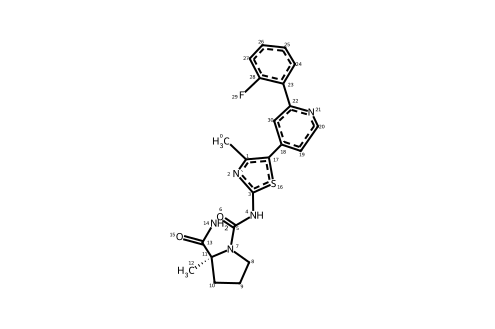 Cc1nc(NC(=O)N2CCC[C@@]2(C)C(N)=O)sc1-c1ccnc(-c2ccccc2F)c1